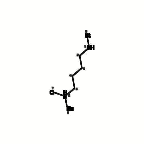 CCNCCCC[SiH](Cl)C(C)CC